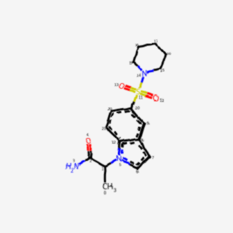 CC(C(N)=O)n1ccc2cc(S(=O)(=O)N3CCCCC3)ccc21